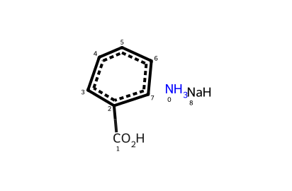 N.O=C(O)c1ccccc1.[NaH]